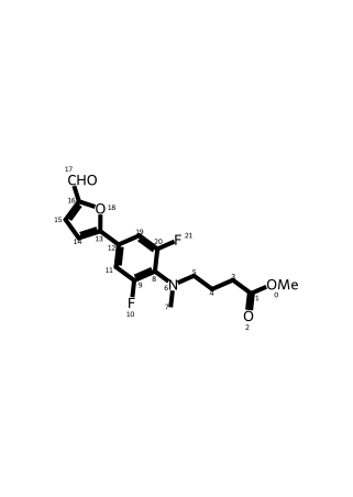 COC(=O)CCCN(C)c1c(F)cc(-c2ccc(C=O)o2)cc1F